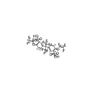 O=S(=O)(O)c1cc(C(c2ccc(OC(F)=C(F)F)c(S(=O)(=O)O)c2)(C(F)(F)F)C(F)(F)F)ccc1OC(F)=C(F)F